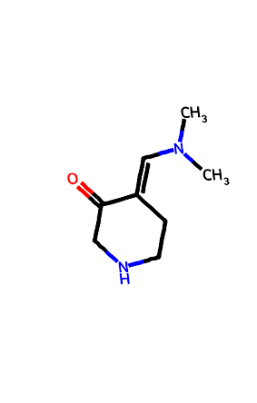 CN(C)/C=C1\CCNCC1=O